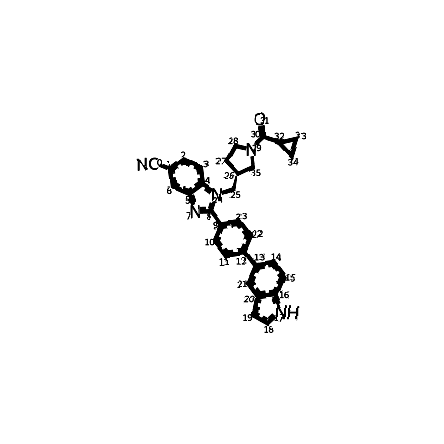 N#Cc1ccc2c(c1)nc(-c1ccc(-c3ccc4[nH]ccc4c3)cc1)n2C[C@H]1CCN(C(=O)C2CC2)C1